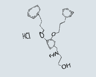 Cl.OCCNCc1ccc(OCCCc2ccccc2)c(OCCCc2ccccc2)c1